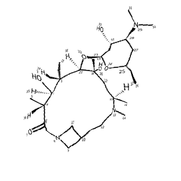 C[C@H]1[C@H](O)[C@@H](C)C(=O)N2CC(C2)CN(C)[C@H](C)C[C@@](C)(O)[C@@H]1O[C@@H]1O[C@H](C)C[C@H](N(C)C)[C@H]1O